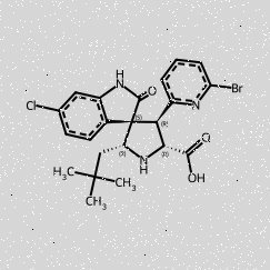 CC(C)(C)C[C@H]1N[C@@H](C(=O)O)[C@H](c2cccc(Br)n2)[C@@]12C(=O)Nc1cc(Cl)ccc12